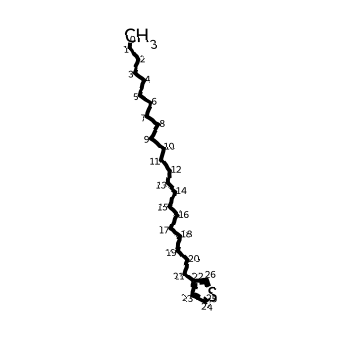 CCCCCCCCCCCCCCCCCCCCCCc1ccsc1